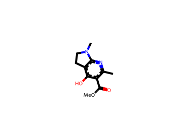 COC(=O)c1c(C)nc2c(c1O)CCN2C